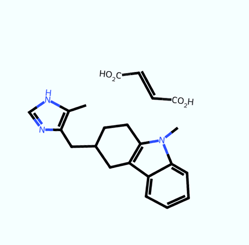 Cc1[nH]cnc1CC1CCc2c(c3ccccc3n2C)C1.O=C(O)C=CC(=O)O